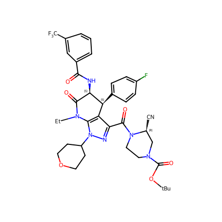 CCN1C(=O)[C@@H](NC(=O)c2cccc(C(F)(F)F)c2)[C@@H](c2ccc(F)cc2)c2c(C(=O)N3CCN(C(=O)OC(C)(C)C)C[C@@H]3C#N)nn(C3CCOCC3)c21